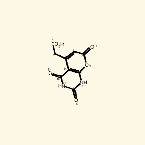 O=C(O)Cc1cc(=O)oc2[nH]c(=O)[nH]c(=O)c12